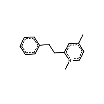 Cc1cc[n+](C)c(CCc2ccccc2)c1